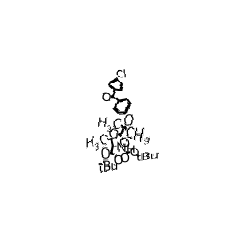 C[C@@H](OC(=O)C(C)(C)Oc1ccc(C(=O)c2ccc(Cl)cc2)cc1)[C@H](NC(=O)OC(C)(C)C)C(=O)OC(C)(C)C